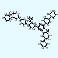 O=S1(=O)c2cc(-c3ccc4oc5ccccc5c4c3)ccc2-c2ccc(-c3nc(-c4ccc(-c5ccccc5)cc4)c4oc5ccc(-c6ccccc6)cc5c4n3)cc21